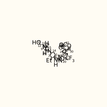 CCc1cc(N2C[C@H]3C[C@@H]2CN3CCO)ccc1Nc1ncc(C(F)(F)F)c(-c2cc3c(s2)[C@@H](C)OCCS3(=O)=O)n1